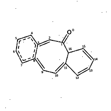 O=C1/C=c2/cccc/c2=C/C=C2/C=CC=CC12